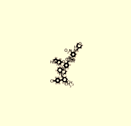 CC1(C)CCC(CN2CCN(c3ccc(C(=O)NS(=O)(=O)c4ccc(NCC5CCOCC5)c([N+](=O)[O-])c4)c(Oc4cnc5[nH]ccc5c4)c3)[C@@H]3CCCC[C@H]32)=C(c2ccc(Cl)cc2)C1